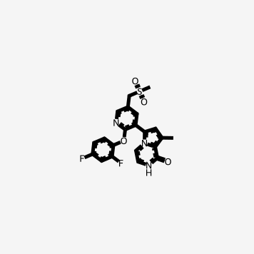 Cc1cc(-c2cc(CS(C)(=O)=O)cnc2Oc2ccc(F)cc2F)n2cc[nH]c(=O)c12